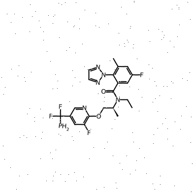 CCN(C(=O)c1cc(F)cc(C)c1-n1nccn1)[C@@H](C)COc1ncc(C(F)(F)P)cc1F